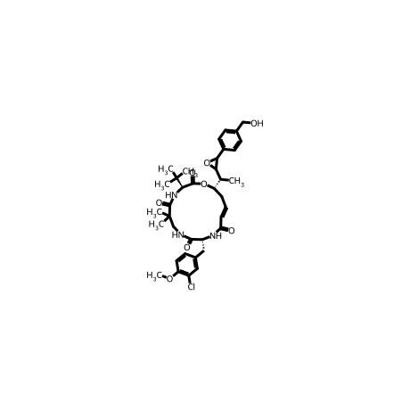 COc1ccc(C[C@H]2NC(=O)/C=C/C[C@@H](C(C)C3OC3c3ccc(CO)cc3)OC(=O)[C@H](C(C)(C)C)NC(=O)C(C)(C)CNC2=O)cc1Cl